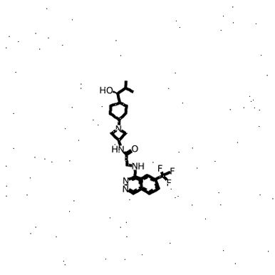 CC(C)[C@H](O)C1CCC(N2CC(NC(=O)CNc3nncc4ccc(C(F)(F)F)cc34)C2)CC1